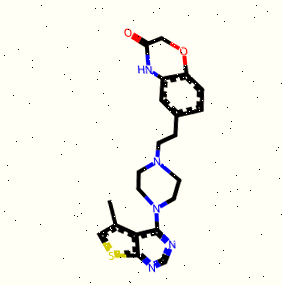 Cc1csc2ncnc(N3CCN(CCc4ccc5c(c4)NC(=O)CO5)CC3)c12